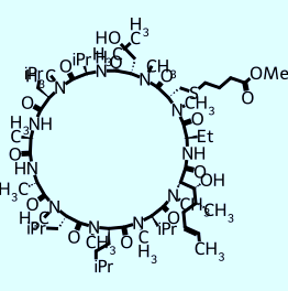 C/C=C/C[C@@H](C)[C@@H](O)[C@H]1C(=O)N[C@H](CC)C(=O)N(C)[C@@H](CSCCCC(=O)OC)C(=O)N(C)[C@@H](CC(C)(C)O)C(=O)N[C@H](C(C)C)C(=O)N(C)[C@H](CC(C)C)C(=O)N[C@H](C)C(=O)N[C@@H](C)C(=O)N(C)[C@@H](CC(C)C)C(=O)N(C)[C@H](CCC(C)C)C(=O)N(C)[C@H](C(C)C)C(=O)N1C